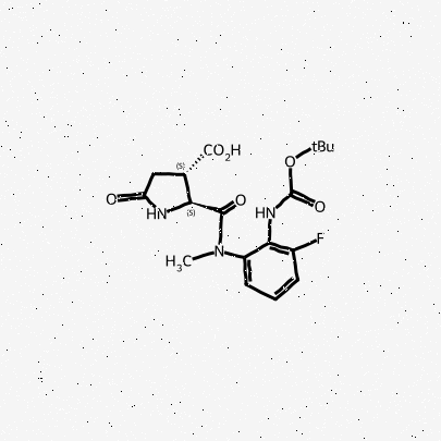 CN(C(=O)[C@H]1NC(=O)C[C@@H]1C(=O)O)c1cccc(F)c1NC(=O)OC(C)(C)C